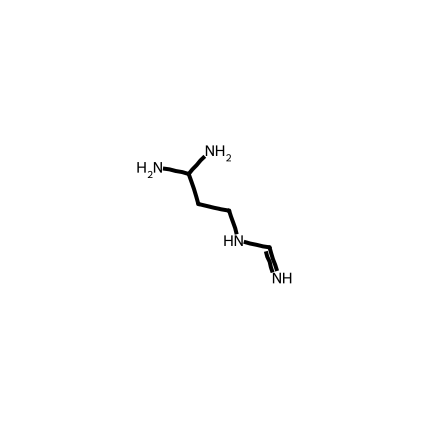 N=CNCCC(N)N